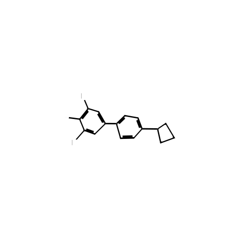 Fc1cc(-c2ccc(C3CCC3)cc2)cc(F)c1F